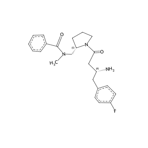 CN(C[C@@H]1CCCN1C(=O)C[C@H](N)Cc1ccc(F)cc1)C(=O)c1ccccc1